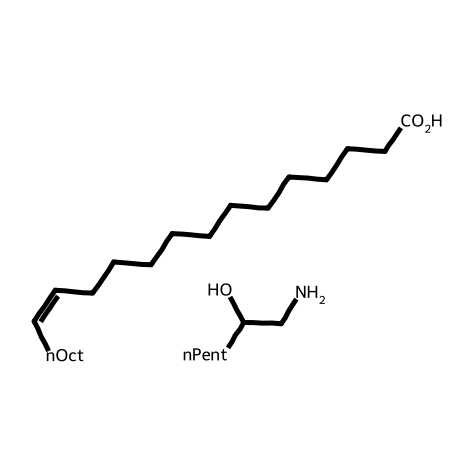 CCCCCC(O)CN.CCCCCCCC/C=C\CCCCCCCCCCCC(=O)O